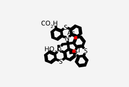 CC(=O)c1ccc2c(c1C(CC(=O)O)(c1c(Cl)ccc3c1N(C)c1ccccc1S3)N1c3ccccc3Sc3c(C(=O)O)cccc31)N(C)c1ccccc1S2